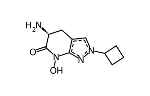 N[C@H]1Cc2cn(C3CCC3)nc2N(O)C1=O